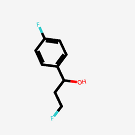 OC(CCF)c1ccc(F)cc1